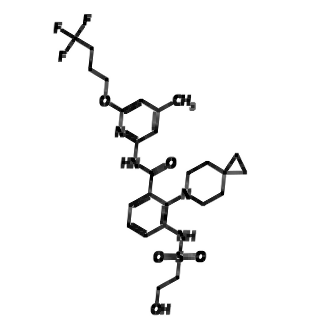 Cc1cc(NC(=O)c2cccc(NS(=O)(=O)CCO)c2N2CCC3(CC2)CC3)nc(OCCCC(F)(F)F)c1